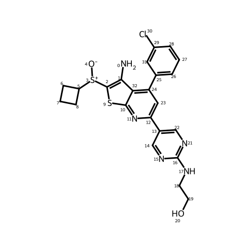 Nc1c([S+]([O-])C2CCC2)sc2nc(-c3cnc(NCCO)nc3)cc(-c3cccc(Cl)c3)c12